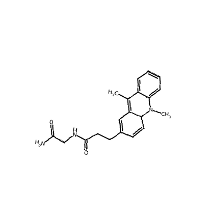 CC1=C2C=C(CCC(=O)NCC(N)=O)C=CC2N(C)c2ccccc21